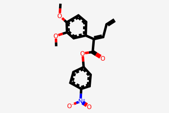 C=C/C=C(/C(=O)Oc1ccc([N+](=O)[O-])cc1)c1ccc(OC)c(OC)c1